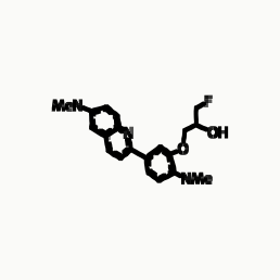 CNc1ccc2nc(-c3ccc(NC)c(OCC(O)CF)c3)ccc2c1